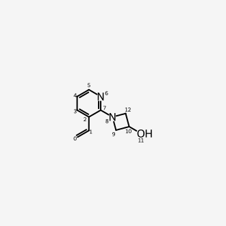 C=Cc1cccnc1N1CC(O)C1